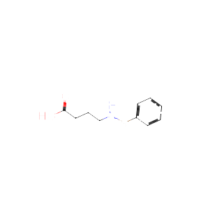 O=C(O)CCCNSc1ccccc1